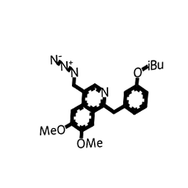 CCC(C)Oc1cccc(Cc2ncc(CN=[N+]=[N-])c3cc(OC)c(OC)cc23)c1